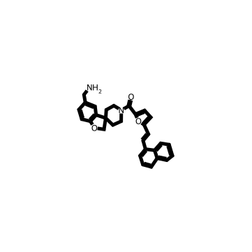 NCc1ccc2c(c1)C1(CCN(C(=O)c3ccc(C=Cc4cccc5ccccc45)o3)CC1)CO2